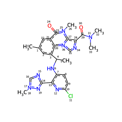 Cc1cc(C(C)Nc2ccc(Cl)nc2-c2ncn(C)n2)c2c(c1)c(=O)n(C)c1c(C(=O)N(C)C)ncn21